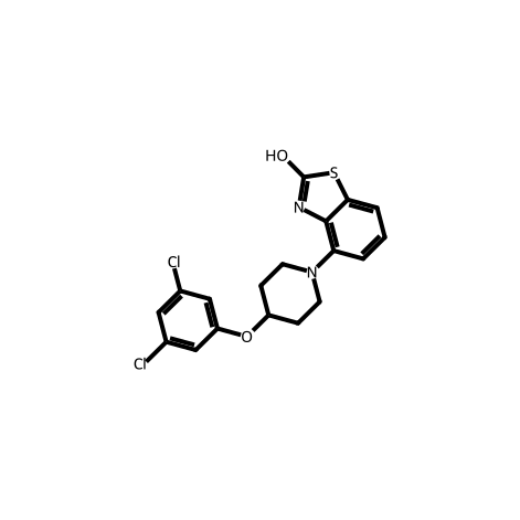 Oc1nc2c(N3CCC(Oc4cc(Cl)cc(Cl)c4)CC3)cccc2s1